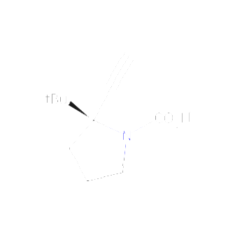 C#C[C@@]1(C(C)(C)C)CCCN1C(=O)O